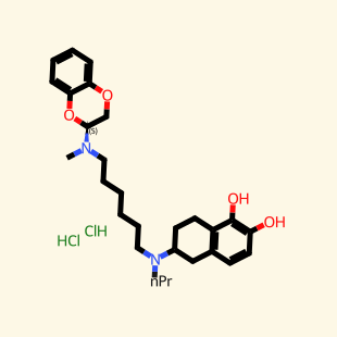 CCCN(CCCCCCN(C)[C@@H]1COc2ccccc2O1)C1CCc2c(ccc(O)c2O)C1.Cl.Cl